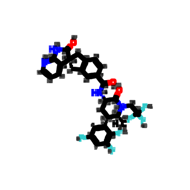 C[C@@H]1[C@H](c2cc(F)cc(F)c2F)C[C@H](NC(=O)c2ccc3c(c2)C[C@@]2(C3)C(=O)Nc3ncccc32)C(=O)N1CC(F)(F)F